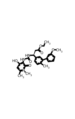 CCOC(=O)C[C@H](NC(=O)Nc1c(O)cc(C)n(C)c1=O)c1ccc(C)c(-c2cccc(OC)c2)c1